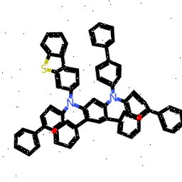 c1ccc(-c2ccc(N(c3ccc(-c4ccccc4)cc3)c3cc(N(c4ccc(-c5ccccc5)cc4)c4ccc5c(c4)sc4ccccc45)c(-c4ccccc4)cc3-c3ccccc3)cc2)cc1